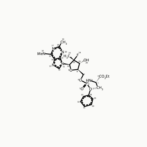 CCOC(=O)[C@H](C)N[P@@](=O)(OC[C@H]1O[C@@H](n2cnc3c(NC)nc(C)nc32)[C@](C)(F)[C@@H]1O)Oc1ccccc1